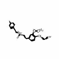 C#CCOc1ccc(CCC(=O)NCc2ccc(I)cc2)cc1OC